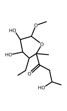 CCC1C(O)C(O)C(OC)OC1(C)C(=O)CC(C)O